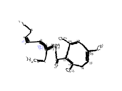 C=C/C(=C\C=C/CI)NC(=O)C1=C(Cl)CC=C(Cl)C=C1Cl